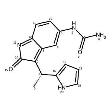 C[C@H](C1=c2cc(NC(N)=O)ccc2=NC1=O)c1ccc[nH]1